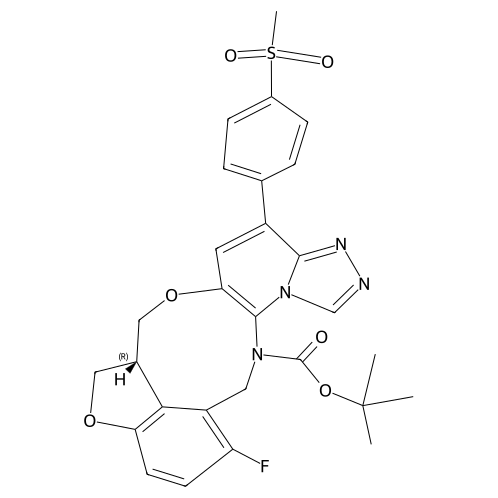 CC(C)(C)OC(=O)N1Cc2c(F)ccc3c2[C@H](CO3)COc2cc(-c3ccc(S(C)(=O)=O)cc3)c3nncn3c21